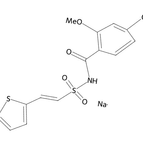 COc1cc(Cl)ccc1C(=O)NS(=O)(=O)C=Cc1cccs1.[Na]